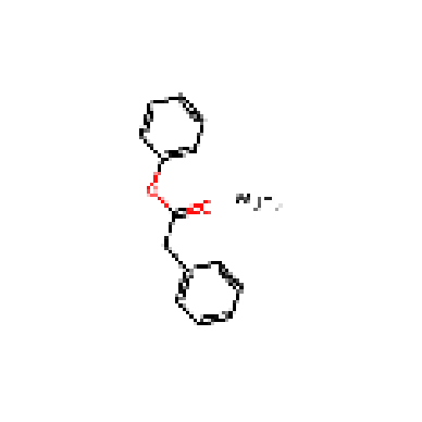 O=C(Cc1ccccc1)Oc1ccccc1.[MgH2]